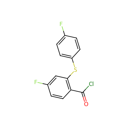 O=C(Cl)c1ccc(F)cc1Sc1ccc(F)cc1